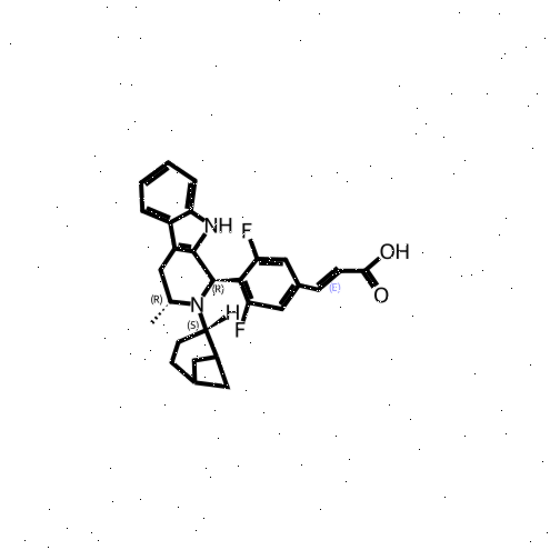 C[C@@H]1Cc2c([nH]c3ccccc23)[C@@H](c2c(F)cc(/C=C/C(=O)O)cc2F)N1[C@H]1CCC2CC1C2